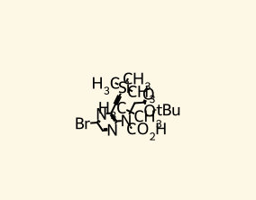 CC(C)(C)OC(=O)CC(C)(C)N(C(=O)O)c1ncc(Br)nc1C#C[Si](C)(C)C